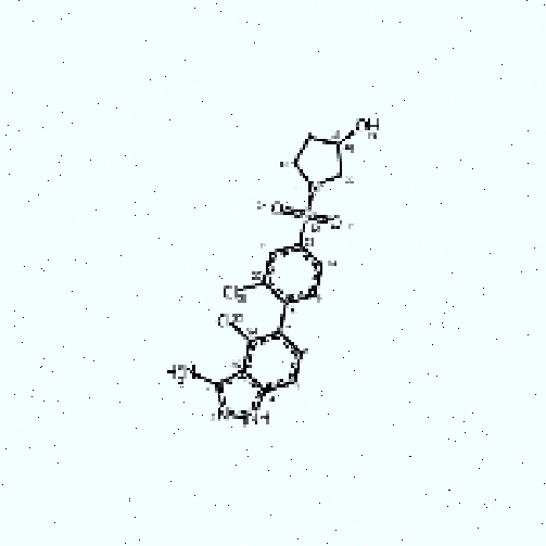 Nc1n[nH]c2ccc(-c3ccc(S(=O)(=O)N4CC[C@@H](O)C4)cc3Cl)c(Cl)c12